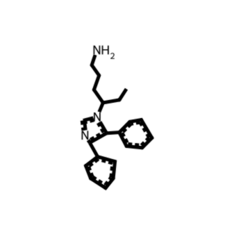 CCC(CCCN)n1cnc(-c2ccccc2)c1-c1ccccc1